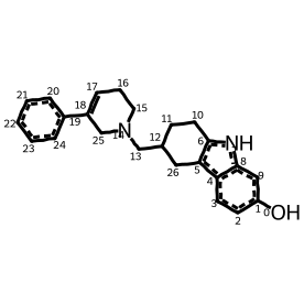 Oc1ccc2c3c([nH]c2c1)CCC(CN1CCC=C(c2ccccc2)C1)C3